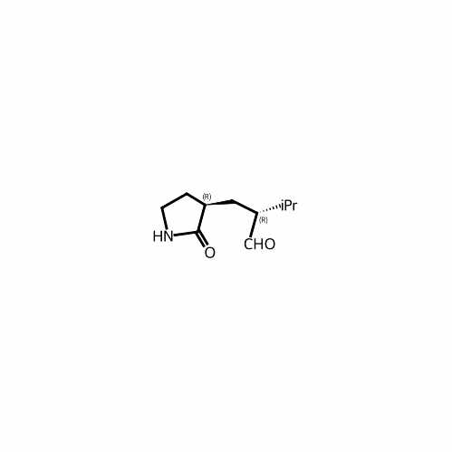 CC(C)[C@H](C=O)C[C@@H]1CCNC1=O